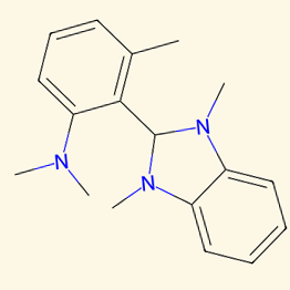 Cc1cccc(N(C)C)c1C1N(C)c2ccccc2N1C